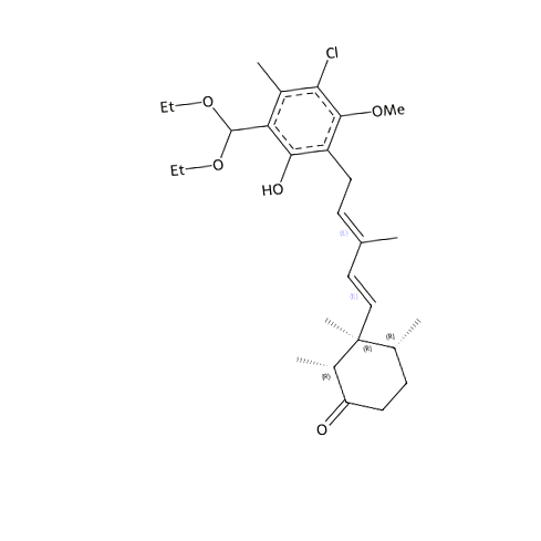 CCOC(OCC)c1c(C)c(Cl)c(OC)c(C/C=C(C)/C=C/[C@@]2(C)[C@H](C)CCC(=O)[C@@H]2C)c1O